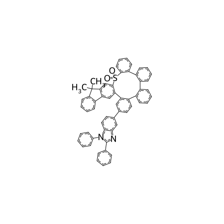 CC1(C)c2ccccc2-c2cc3c(cc21)S(=O)(=O)c1ccccc1-c1ccccc1-c1ccccc1-c1ccc(-c2ccc4c(c2)nc(-c2ccccc2)n4-c2ccccc2)cc1-3